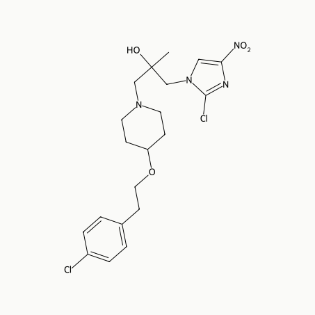 CC(O)(CN1CCC(OCCc2ccc(Cl)cc2)CC1)Cn1cc([N+](=O)[O-])nc1Cl